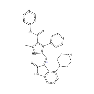 Cc1[nH]c(/C=C2\C(=O)Nc3cccc(C4CCNCC4)c32)c(-c2ccccc2)c1C(=O)Nc1ccncc1